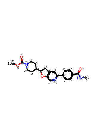 CCNC(=O)c1ccc(-c2cc3c(cn2)OC(C2CCN(C(=O)OC(C)(C)C)CC2)C3)cc1